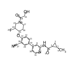 C[C@@H]1CC1C(=O)Nc1cc(-c2ccc(O[C@H]3CCN(C(=O)CO)CC3F)c(C#N)c2)ccn1